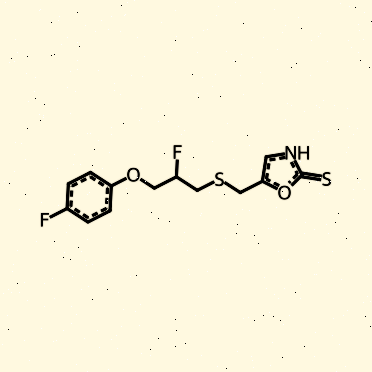 Fc1ccc(OCC(F)CSCc2c[nH]c(=S)o2)cc1